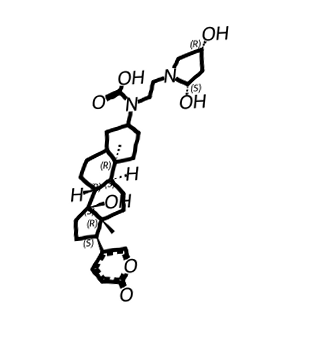 C[C@@]12CCC(N(CCN3C[C@H](O)C[C@@H]3O)C(=O)O)CC1CC[C@@H]1[C@@H]2CC[C@]2(C)[C@@H](c3ccc(=O)oc3)CC[C@]12O